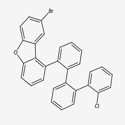 Clc1ccccc1-c1ccccc1-c1ccccc1-c1cccc2oc3ccc(Br)cc3c12